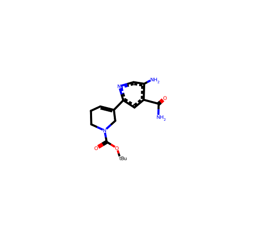 CC(C)(C)OC(=O)N1CCC=C(c2cc(C(N)=O)c(N)cn2)C1